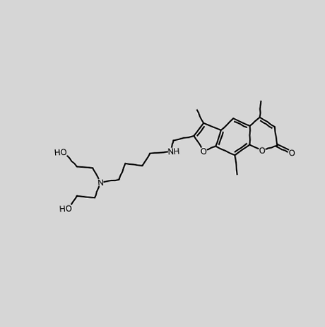 Cc1cc(=O)oc2c(C)c3oc(CNCCCCN(CCO)CCO)c(C)c3cc12